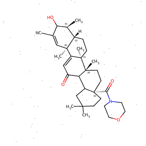 C[C@@H]1C(O)C(C#N)=C[C@]2(C)C3=CC(=O)C4C5CC(C)(C)CC[C@]5(C(=O)N5CCOCC5)CC[C@@]4(C)[C@]3(C)CC[C@@H]12